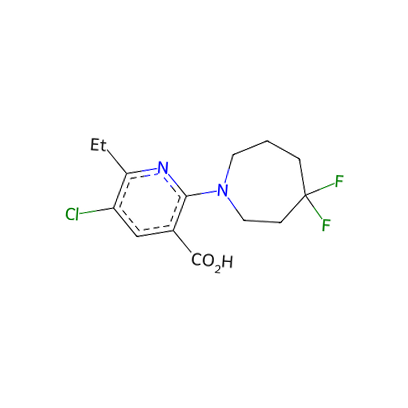 CCc1nc(N2CCCC(F)(F)CC2)c(C(=O)O)cc1Cl